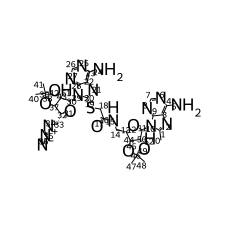 Cc1nc2c(N)ncnc2n1[C@@H]1O[C@H](CNC(=O)CSc2nc3c(N)ncnc3n2[C@@H]2O[C@H](CN=[N+]=[N-])C3OC(C)(C)O[C@@H]32)C2OC(C)(C)O[C@@H]21